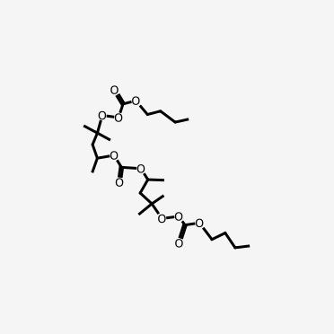 CCCCOC(=O)OOC(C)(C)CC(C)OC(=O)OC(C)CC(C)(C)OOC(=O)OCCCC